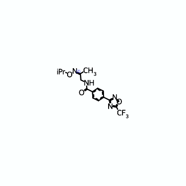 C/C(CNC(=O)c1ccc(-c2noc(C(F)(F)F)n2)cc1)=N/OC(C)C